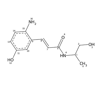 CC(CO)NC(=O)C=Cc1cc(O)ccc1N